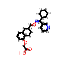 O=C(O)COc1cccc2c1CCC(CON=C(c1cccnc1)C1CCCCC1)C2